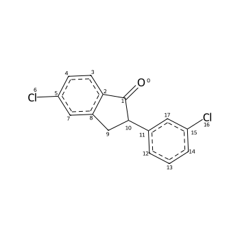 O=C1c2ccc(Cl)cc2CC1c1cccc(Cl)c1